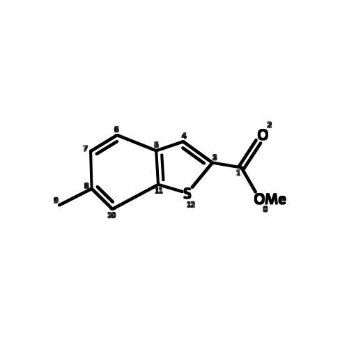 COC(=O)c1cc2ccc(C)cc2s1